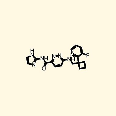 O=C(Nc1ncc[nH]1)c1ccc(NCC2(c3ncccc3F)CCC2)nn1